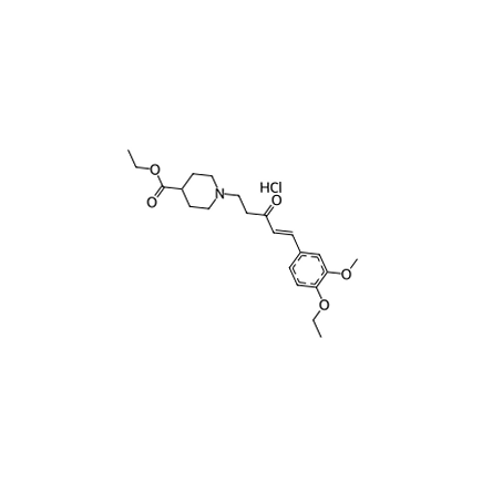 CCOC(=O)C1CCN(CCC(=O)C=Cc2ccc(OCC)c(OC)c2)CC1.Cl